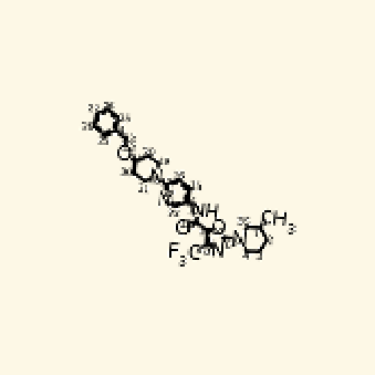 CC1CCCN(c2nc(C(F)(F)F)c(C(=O)Nc3ccc(N4CCC(OCc5ccccc5)CC4)nc3)o2)C1